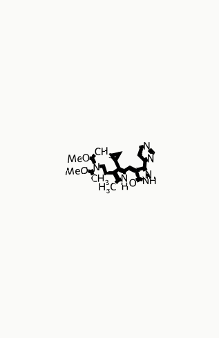 COC(C)N(CCc1c(C)[nH]c(C=C2C(=O)NN=C2c2ccncn2)c1C1CC1)C(C)OC